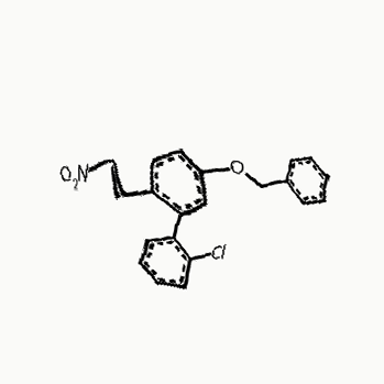 O=[N+]([O-])C=Cc1ccc(OCc2ccccc2)cc1-c1ccccc1Cl